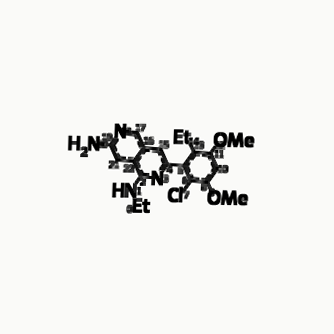 CCNc1nc(-c2c(Cl)c(OC)cc(OC)c2CC)cc2cnc(N)cc12